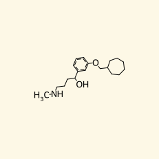 CNCCCC(O)c1cccc(OCC2CCCCCC2)c1